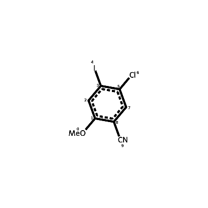 COc1cc(I)c(Cl)cc1C#N